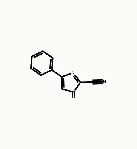 N#Cc1nc(-c2ccccc2)c[nH]1